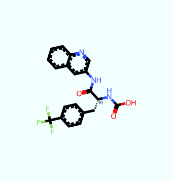 O=C(O)N[C@H](Cc1ccc(C(F)(F)F)cc1)C(=O)Nc1cnc2ccccc2c1